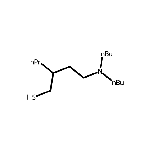 CCCCN(CCCC)CCC(CS)CCC